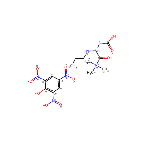 CCCN[C@H](CC(=O)O)C(=O)[N+](C)(C)C.O=[N+]([O-])c1cc([N+](=O)[O-])c([O-])c([N+](=O)[O-])c1